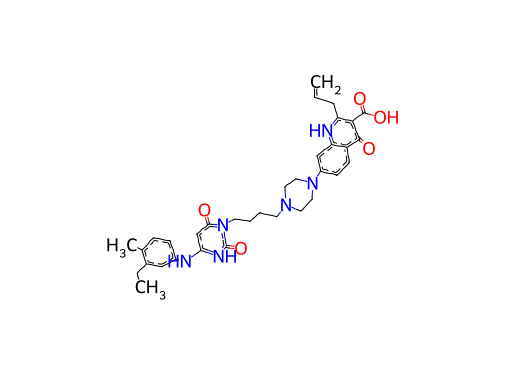 C=CCc1[nH]c2cc(N3CCN(CCCCn4c(=O)cc(Nc5ccc(C)c(CC)c5)[nH]c4=O)CC3)ccc2c(=O)c1C(=O)O